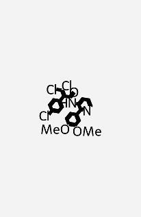 COc1ccc(-c2ncccc2NC(=O)C(=C(Cl)Cl)c2ccc(Cl)cc2)cc1OC